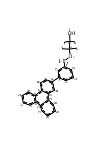 CC(C)(O)C(C)(C)OBc1cccc(-c2ccc3c4ccccc4c4ccccc4c3c2)c1